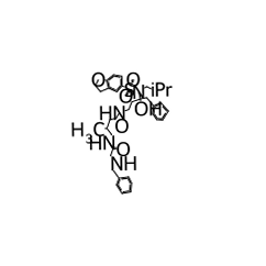 CC(C)CN(C(O)(CCNC(=O)CC(C)CNC(=O)CNCc1ccccc1)Cc1ccccc1)S(=O)(=O)c1ccc2c(c1)CCO2